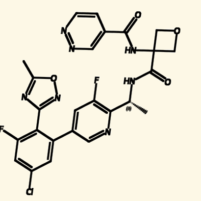 Cc1nc(-c2c(F)cc(Cl)cc2-c2cnc([C@@H](C)NC(=O)C3(NC(=O)c4ccnnc4)COC3)c(F)c2)no1